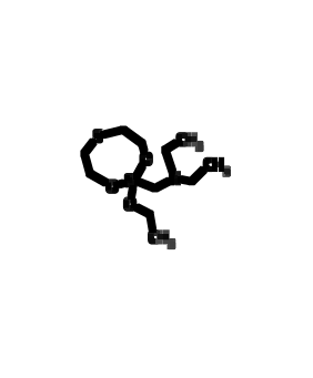 CCO[Si]1(CN(CC)CC)OCCSCCO1